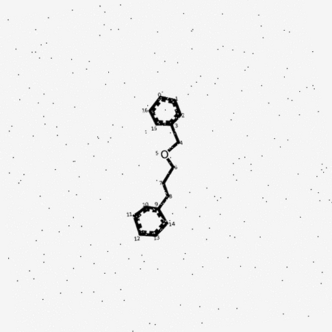 [c]1ccc(COCCCc2ccccc2)cc1